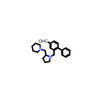 O=Cc1ccc(-c2ccccc2)c(CN2CCCC2CN2CCCCC2)c1